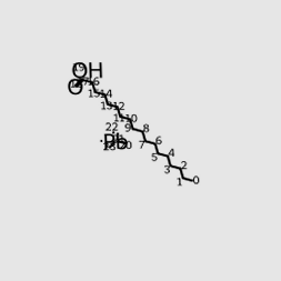 CCCCCCCCCCCCCCCCCC(=O)O.[CH3][Pb]([CH3])[CH3]